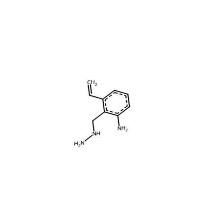 C=Cc1cccc(N)c1CNN